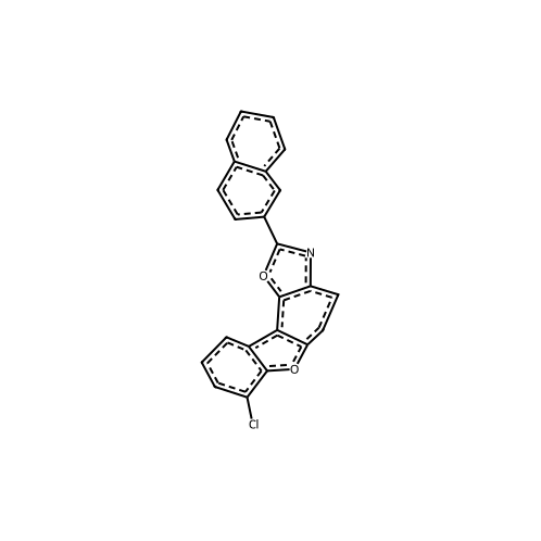 Clc1cccc2c1oc1ccc3nc(-c4ccc5ccccc5c4)oc3c12